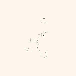 COC(=O)C(C)(CCCC(CNC(=O)OCc1ccccc1)O[Si](C)(C)C(C)(C)C)c1cccc(I)c1